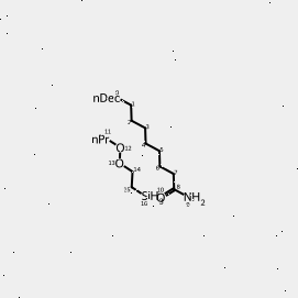 CCCCCCCCCCCCCCCCCC(N)=O.CCCOOCC[SiH3]